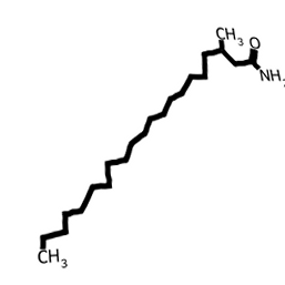 CCCCCCCCCCCCCCCCCCC(C)CC(N)=O